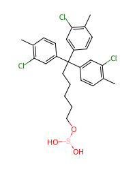 Cc1ccc(C(CCCCCOB(O)O)(c2ccc(C)c(Cl)c2)c2ccc(C)c(Cl)c2)cc1Cl